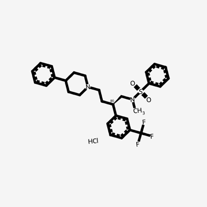 CN(C[C@H](CCN1CCC(c2ccccc2)CC1)c1cccc(C(F)(F)F)c1)S(=O)(=O)c1ccccc1.Cl